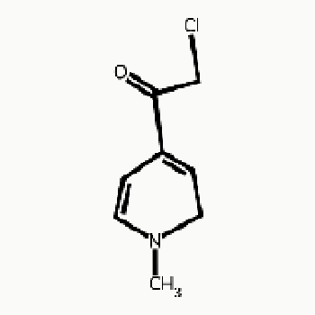 CN1C=CC(C(=O)CCl)=CC1